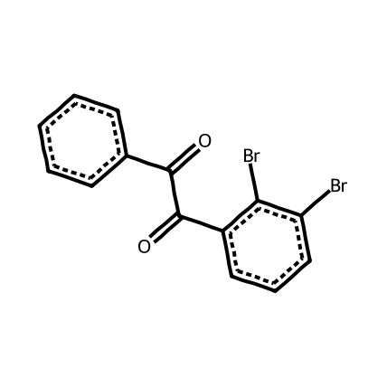 O=C(C(=O)c1cccc(Br)c1Br)c1ccccc1